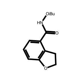 CC(C)CONC(=O)c1cccc2c1CCO2